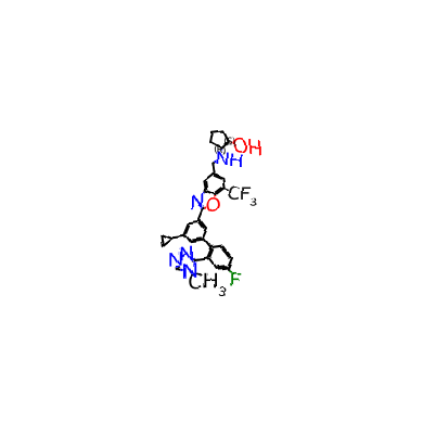 Cn1cnnc1-c1cc(F)ccc1-c1cc(-c2nc3cc(CN[C@@H]4CCC[C@@H]4O)cc(C(F)(F)F)c3o2)cc(C2CC2)c1